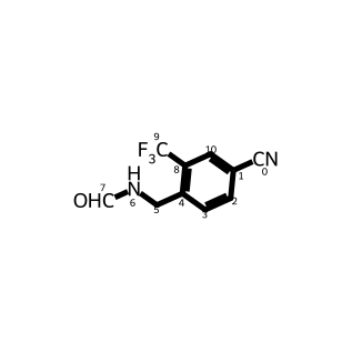 N#Cc1ccc(CNC=O)c(C(F)(F)F)c1